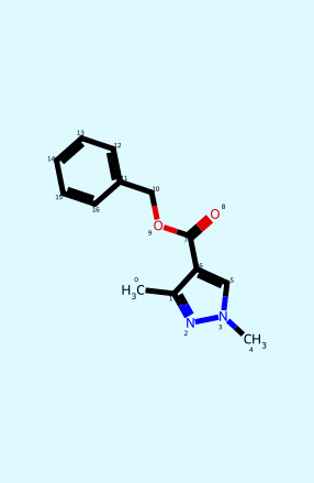 Cc1nn(C)cc1C(=O)OCc1ccccc1